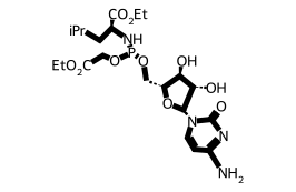 CCOC(=O)COP(N[C@@H](CC(C)C)C(=O)OCC)OC[C@H]1O[C@@H](n2ccc(N)nc2=O)[C@@H](O)[C@@H]1O